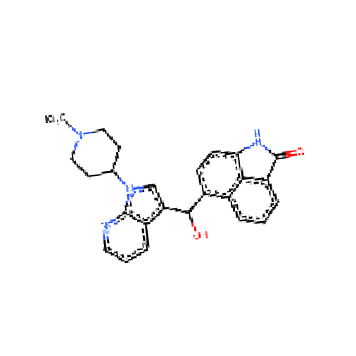 O=C1Nc2ccc(C(O)c3cn(C4CCN(C(=O)O)CC4)c4ncccc34)c3cccc1c23